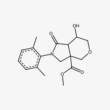 COC(=O)C12COCC(O)C1C(=O)N(c1c(C)cccc1C)C2